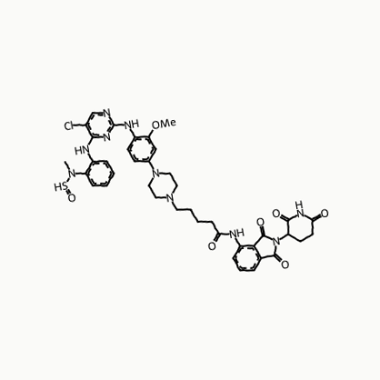 COc1cc(N2CCN(CCCCC(=O)Nc3cccc4c3C(=O)N(C3CCC(=O)NC3=O)C4=O)CC2)ccc1Nc1ncc(Cl)c(Nc2ccccc2N(C)[SH]=O)n1